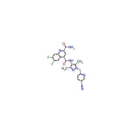 Cc1nn(Cc2ccc(C#N)cn2)c(C)c1NC(=O)c1cc(C(N)=O)nc2cc(F)c(F)cc12